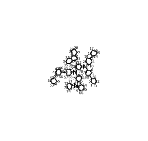 c1ccc(-c2ccc(N(c3ccc(-c4ccccc4)cc3)c3cc(-c4cc5ccccc5c5ccccc45)cc(N(c4ccc(-c5cccc(-c6ccccc6)c5)cc4)c4ccc5c6ccccc6n(-c6ccccc6)c5c4)c3)cc2)cc1